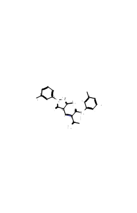 CC(=N)/C(=C/C1C(=O)N(c2cccc(C)c2)N=C1C)C(=O)Nc1cccc(C)c1